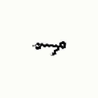 ClCCCC(CCCCCCC[n+]1cc[nH]c1)c1ccccc1